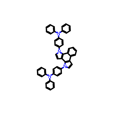 c1ccc(N(c2ccccc2)c2ccc(-n3ccc4c5ccccc5c5c(ccn5-c5ccc(N(c6ccccc6)c6ccccc6)cc5)c43)cc2)cc1